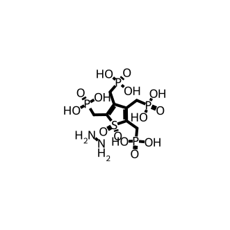 NN.O=P(O)(O)CC1=C(CP(=O)(O)O)S(=O)(=O)C(CP(=O)(O)O)=C1CP(=O)(O)O